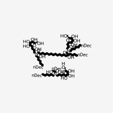 CCCCCCCCCCCCCCCCN(CC(O)CC1O[C@H](CO)[C@@H](O)[C@H](O)[C@H]1O)C(=O)C(O)CCCCCCCCCC.CCCCCCCCCCCCCCCCN(CC(O)CC1O[C@H](CO)[C@@H](O)[C@H](O)[C@H]1O)C(=O)C(O)CCCCCCCCCCCCC(O)(CCCCCCCCCCCCCC)C(=O)N(CCCCCCCCCCCCCCCC)CC(O)CC1O[C@H](CO)[C@@H](O)[C@H](O)[C@H]1O